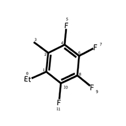 CCc1c(C)c(F)c(F)c(F)c1F